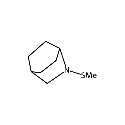 CSN1CC2CCC1CC2